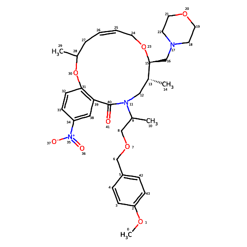 COc1ccc(COCC(C)N2C[C@@H](C)[C@H](CN3CCOCC3)OCC=CCC(C)Oc3ccc([N+](=O)[O-])cc3C2=O)cc1